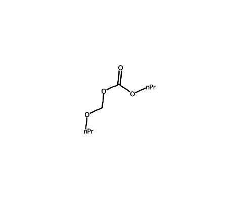 CCCOCOC(=O)OCCC